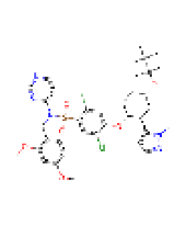 COc1ccc(CN(c2ccncn2)S(=O)(=O)c2cc(Cl)c(O[C@@H]3CC[C@H](O[Si](C)(C)C(C)(C)C)C[C@H]3c3ccnn3C)cc2F)c(OC)c1